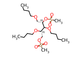 CCCCOC[C@H](OS(C)(=O)=O)C(OCCCC)[C@H](COS(C)(=O)=O)OCCCC